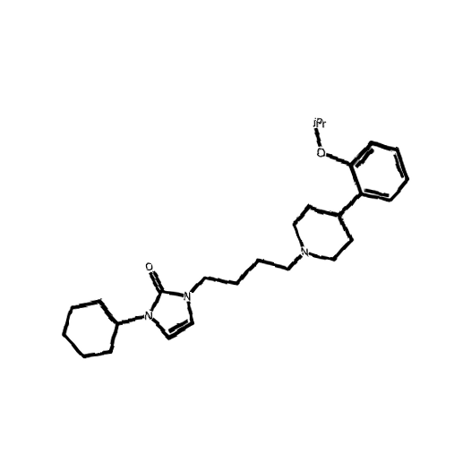 CC(C)Oc1ccccc1C1CCN(CCCCn2ccn(C3CCCCC3)c2=O)CC1